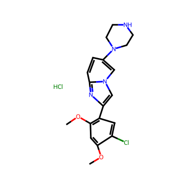 COc1cc(OC)c(-c2cn3cc(N4CCNCC4)ccc3n2)cc1Cl.Cl